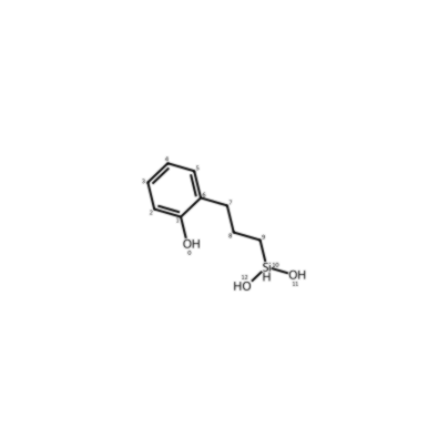 Oc1ccccc1CCC[SiH](O)O